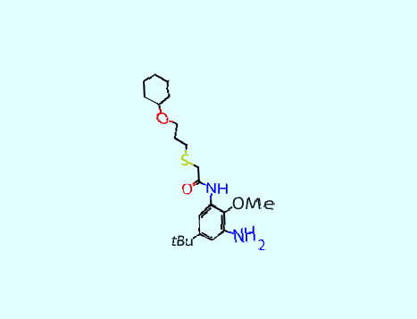 COc1c(N)cc(C(C)(C)C)cc1NC(=O)CSCCCOC1CCCCC1